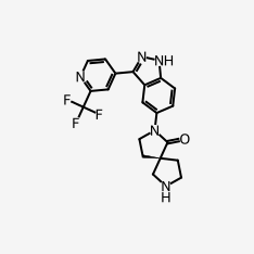 O=C1N(c2ccc3[nH]nc(-c4ccnc(C(F)(F)F)c4)c3c2)CC[C@]12CCNC2